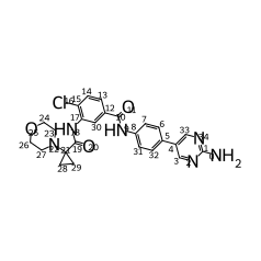 Nc1ncc(-c2ccc(NC(=O)c3ccc(Cl)c(NC(=O)C4(N5CCOCC5)CC4)c3)cc2)cn1